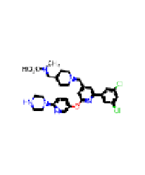 CN(CC1CCN(Cc2cc(Oc3ccc(N4CCNCC4)nc3)nc(-c3cc(Cl)cc(Cl)c3)c2)CC1)C(=O)O